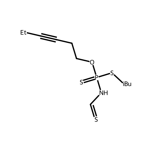 CCC#CCCOP(=S)(NC=S)SC(C)CC